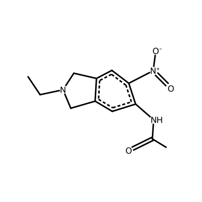 CCN1Cc2cc(NC(C)=O)c([N+](=O)[O-])cc2C1